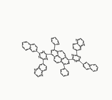 c1ccc(-c2cc(-c3nc(-c4ccc5ccccc5c4)nc(-c4ccc5nccnc5c4)n3)c3ccc4c(-c5ccccc5)cc(-c5nc(-c6ccc7ccccc7c6)nc(-c6ccc7nccnc7c6)n5)c5ccc2c3c45)cc1